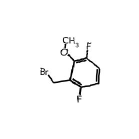 COc1c(F)ccc(F)c1CBr